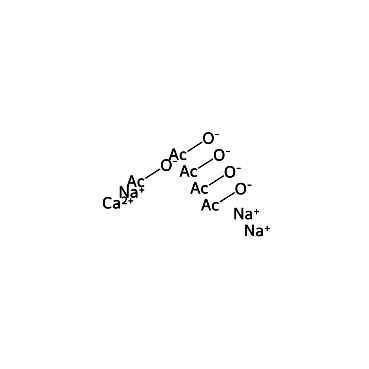 CC(=O)[O-].CC(=O)[O-].CC(=O)[O-].CC(=O)[O-].CC(=O)[O-].[Ca+2].[Na+].[Na+].[Na+]